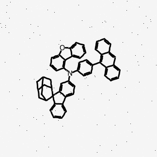 c1ccc2c(c1)-c1ccc(N(c3ccc(-c4c5ccccc5cc5ccccc45)cc3)c3cccc4oc5ccccc5c34)cc1C21C2CC3CC(C2)CC1C3